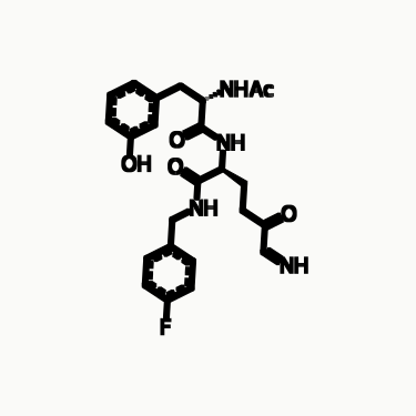 CC(=O)N[C@@H](Cc1cccc(O)c1)C(=O)N[C@@H](CCC(=O)C=N)C(=O)NCc1ccc(F)cc1